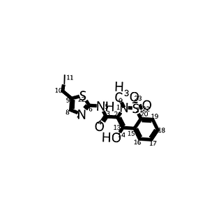 CN1C(C(=O)Nc2ncc(CI)s2)=C(O)c2ccccc2S1(=O)=O